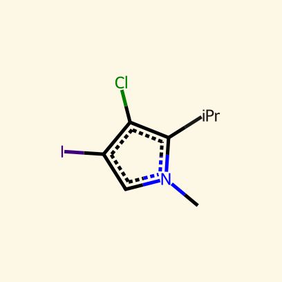 CC(C)c1c(Cl)c(I)cn1C